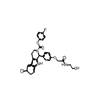 O=C(COc1ccc(C2c3[nH]c4c(c3CCN2C(=O)Oc2ccc(F)cc2)=CC(Cl)CC=4)cc1)NCCO